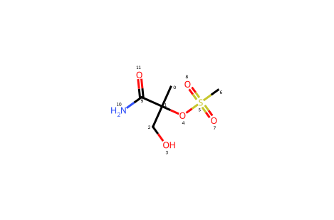 CC(CO)(OS(C)(=O)=O)C(N)=O